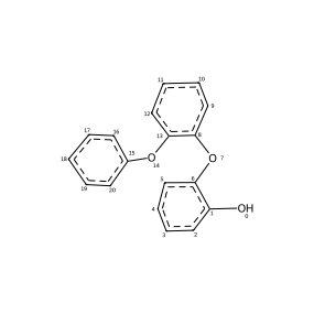 Oc1ccccc1Oc1ccccc1Oc1ccccc1